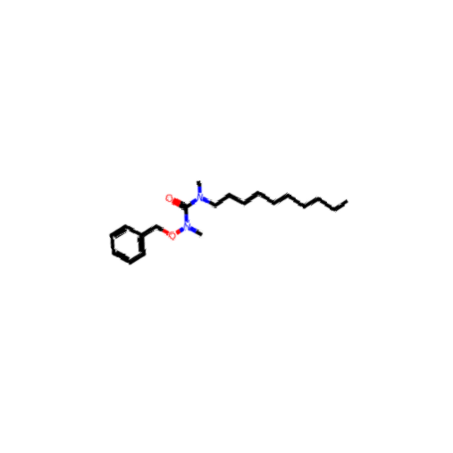 CCCCCCCCCCN(C)C(=O)N(C)OCc1ccccc1